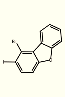 Brc1c(I)ccc2oc3ccccc3c12